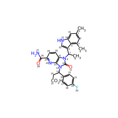 Cc1cc(C)c2c(C(C)n3c(=O)n(C(CC(=O)O)c4ccc(F)cc4)c4nc(C(N)=O)ccc43)c[nH]c2c1